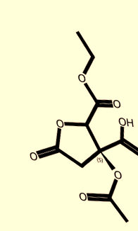 CCOC(=O)C1OC(=O)C[C@@]1(OC(C)=O)C(=O)O